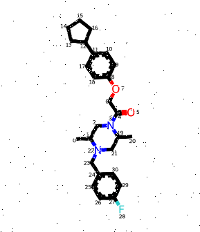 CC1CN(C(=O)COc2ccc(C3CCCC3)cc2)C(C)CN1Cc1ccc(F)cc1